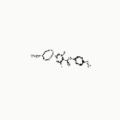 CCCCC[C@H]1CC[C@H](c2cc(F)c(C(=O)Oc3ccc(OCC)cc3)c(F)c2)CC1